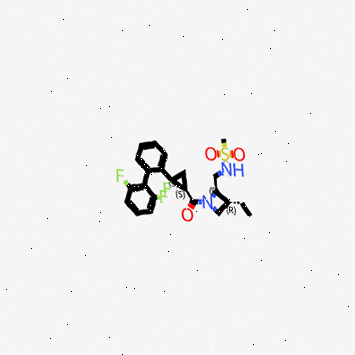 CC[C@@H]1CN(C(=O)[C@@H]2C[C@@]2(F)c2ccccc2-c2c(F)cccc2F)[C@H]1CNS(C)(=O)=O